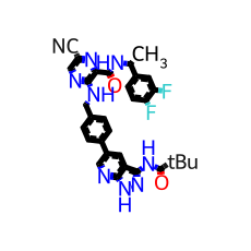 CC(NC(=O)c1nc(C#N)cnc1NCc1ccc(-c2cnc3[nH]nc(NC(=O)C(C)(C)C)c3c2)cc1)c1ccc(F)c(F)c1